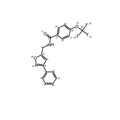 O=C(NCc1cc(-c2ccccc2)no1)c1ccc(OC(F)(F)F)cc1